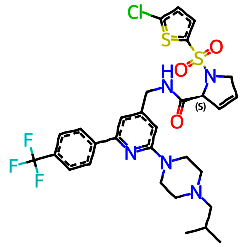 CC(C)CN1CCN(c2cc(CNC(=O)[C@@H]3C=CCN3S(=O)(=O)c3ccc(Cl)s3)cc(-c3ccc(C(F)(F)F)cc3)n2)CC1